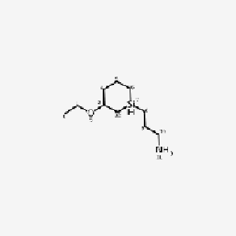 CCOC1CCC[SiH](CCCN)C1